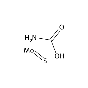 NC(=O)O.[S]=[Mo]